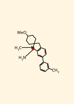 COC1CCC2(CC1)Cc1ccc(-c3cccc(C)c3)cc1C21N=C(N)N(C)O1